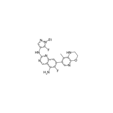 CCn1ncc(Nc2ncc3c(N)c(F)c(-c4cnc5c(c4C)NCCO5)cc3n2)c1F